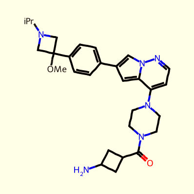 COC1(c2ccc(-c3cc4c(N5CCN(C(=O)C6CC(N)C6)CC5)ccnn4c3)cc2)CN(C(C)C)C1